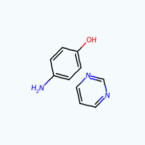 Nc1ccc(O)cc1.c1cncnc1